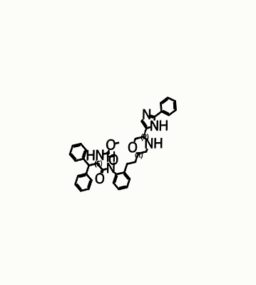 COC(=O)N[C@H](C(=O)Nc1ccccc1CC[C@@H]1CN[C@H](c2cnc(-c3ccccc3)[nH]2)CO1)C(c1ccccc1)c1ccccc1